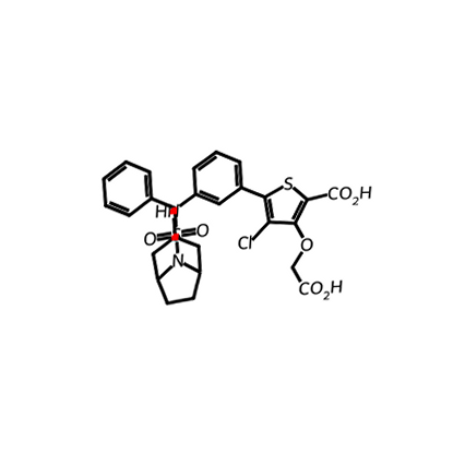 O=C(O)COc1c(C(=O)O)sc(-c2cccc(NC3CC4CCC(C3)N4S(=O)(=O)Cc3ccccc3)c2)c1Cl